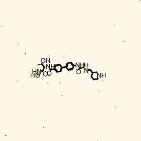 C[C@@H](O)[C@H](NC(=O)c1ccc(-c2ccc(NC(=O)CNCC3CCCNC3)cc2)cc1)C(=O)NO